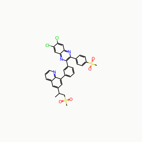 CC(CS(C)(=O)=O)c1cc(-c2cccc(-c3nc4cc(Cl)c(Cl)cc4nc3-c3ccc(S(C)(=O)=O)cc3)c2)c2ncccc2c1